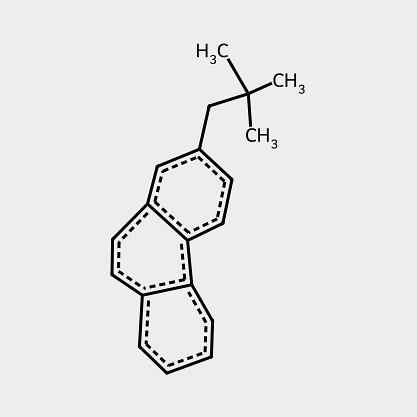 CC(C)(C)Cc1ccc2c(ccc3ccccc32)c1